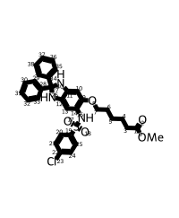 COC(=O)CCCCCOc1cc2c(cc1NS(=O)(=O)c1ccc(Cl)cc1)NC(c1ccccc1)(c1ccccc1)N2